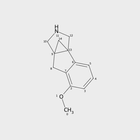 COc1cccc2c1CC13CNCC21C3